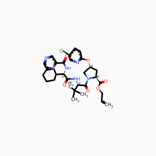 C=CCOC(=O)[C@@H]1C[C@@H](Oc2ccc(Cl)cn2)CN1C(=O)[C@@H](NC(=O)[C@@H](NC(=O)c1cnccn1)C1CCCCC1)C(C)(C)C